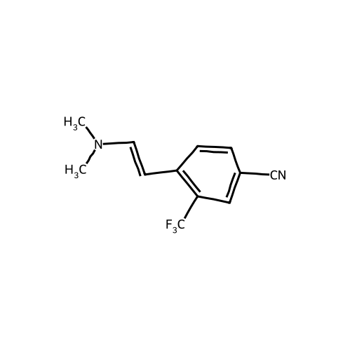 CN(C)C=Cc1ccc(C#N)cc1C(F)(F)F